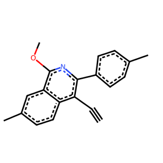 C#Cc1c(-c2ccc(C)cc2)nc(OC)c2cc(C)ccc12